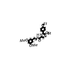 CCOc1ccc(-c2nc(C(=O)NN=Cc3cc(OC)cc(OC)c3)cnc2OCC)cc1